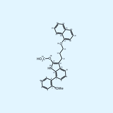 COc1ccncc1-c1cccc2c(CCCOc3cccc4ccccc34)c(OC(=O)O)[nH]c12